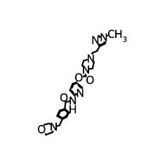 Cn1cnc(CCN2CCN(C(=O)Oc3ccc(NC(=O)c4ccc(CN5CCOCC5)cc4)nc3)CC2)c1